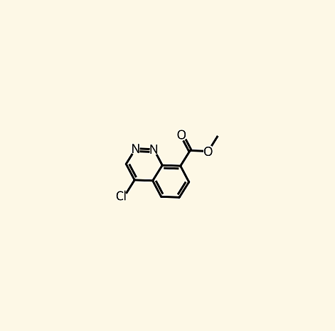 COC(=O)c1cccc2c(Cl)cnnc12